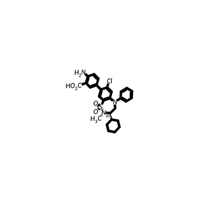 CN1[C@H](C2CCCCC2)CN(c2ccccc2)c2cc(Cl)c(-c3ccc(N)c(C(=O)O)c3)cc2S1(=O)=O